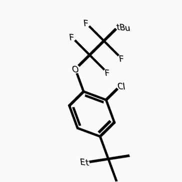 CCC(C)(C)c1ccc(OC(F)(F)C(F)(F)C(C)(C)C)c(Cl)c1